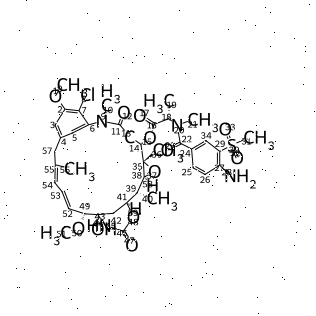 COc1cc2cc(c1Cl)N(C)C(=O)C[C@H](OC(=O)[C@H](C)N(C)C(=O)c1ccc(N)c(S(C)(=O)=O)c1)[C@]1(C)O[C@H]1[C@H](C)[C@@H]1C[C@@](O)(NC(=O)O1)[C@H](OC)/C=C/C=C(\C)C2